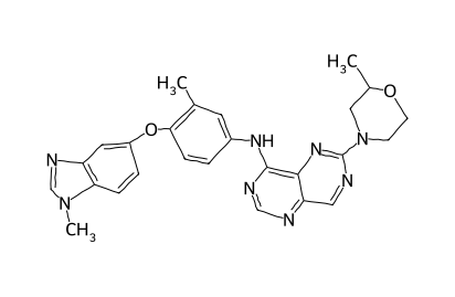 Cc1cc(Nc2ncnc3cnc(N4CCOC(C)C4)nc23)ccc1Oc1ccc2c(c1)ncn2C